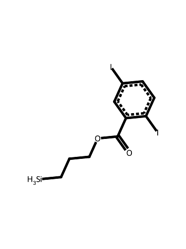 O=C(OCCC[SiH3])c1cc(I)ccc1I